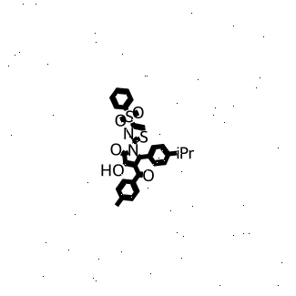 Cc1ccc(C(=O)C2=C(O)C(=O)N(c3nc(S(=O)(=O)c4ccccc4)cs3)C2c2ccc(C(C)C)cc2)cc1